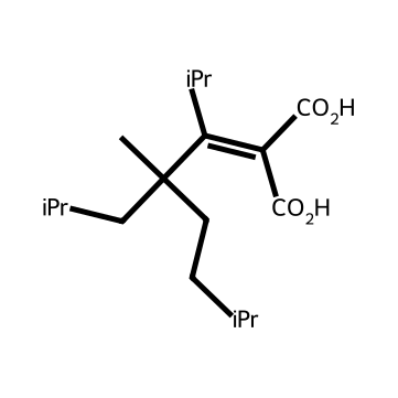 CC(C)CCC(C)(CC(C)C)C(=C(C(=O)O)C(=O)O)C(C)C